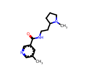 Cc1cncc(C(=O)NCCC2CCCN2C)c1